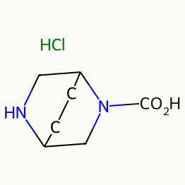 Cl.O=C(O)N1CC2CCC1CN2